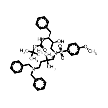 COc1ccc(S(=O)(=O)N(C[C@H](O)[C@H](Cc2ccccc2)NC(=O)OC(C)(C)C)CC(C)(C)CCN(Cc2ccccc2)Cc2ccccc2)cc1